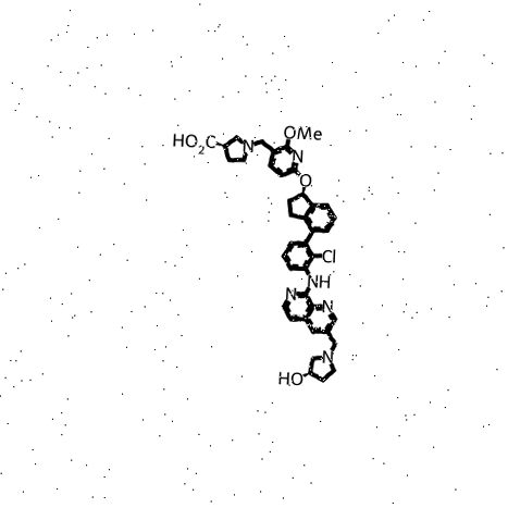 COc1nc(O[C@@H]2CCc3c(-c4cccc(Nc5nccc6cc(CN7CC[C@@H](O)C7)cnc56)c4Cl)cccc32)ccc1CN1CC[C@@H](C(=O)O)C1